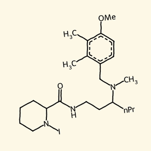 CCCC(CCNC(=O)C1CCCCN1I)N(C)Cc1ccc(OC)c(C)c1C